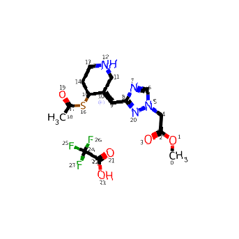 COC(=O)Cn1cnc(/C=C2\CNCCC2SC(C)=O)n1.O=C(O)C(F)(F)F